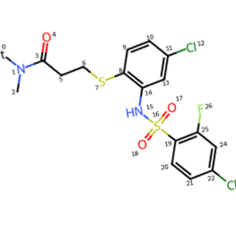 CCN(C)C(=O)CCSc1ccc(Cl)cc1NS(=O)(=O)c1ccc(Cl)cc1F